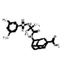 Cc1cc(C)cc(S(=O)(=O)NC(C)(C)C(=O)NC2C3CC4CC2CC(C(N)=O)(C4)C3)c1